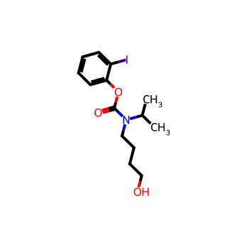 CC(C)N(CCCCO)C(=O)Oc1ccccc1I